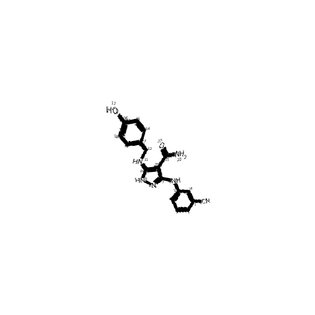 N#Cc1cccc(Nc2n[nH]c(NCc3ccc(O)cc3)c2C(N)=O)c1